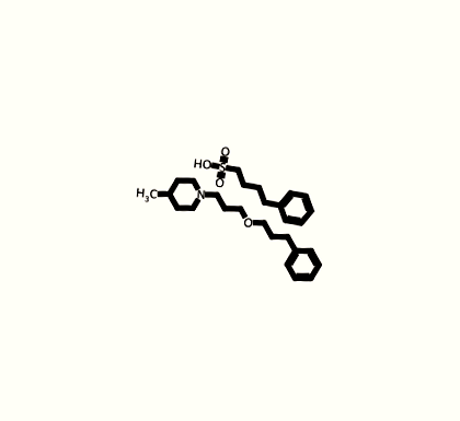 CC1CCN(CCCOCCCc2ccccc2)CC1.O=S(=O)(O)CCCCc1ccccc1